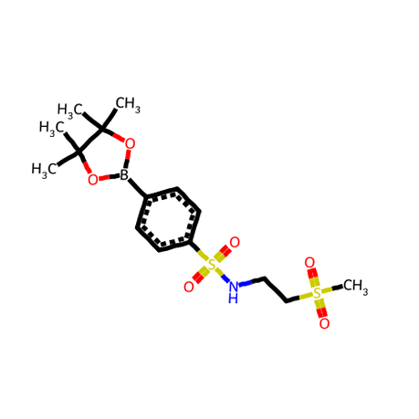 CC1(C)OB(c2ccc(S(=O)(=O)NCCS(C)(=O)=O)cc2)OC1(C)C